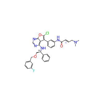 CN(C)C/C=C/C(=O)Nc1cccc(-c2c(Cl)oc3ncnc(N[C@H](COCc4cccc(F)c4)c4ccccc4)c23)c1